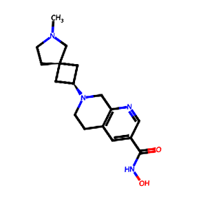 CN1CC[C@]2(C1)C[C@H](N1CCc3cc(C(=O)NO)cnc3C1)C2